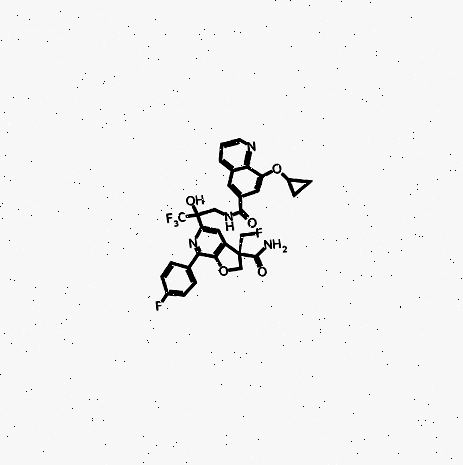 NC(=O)[C@]1(CF)COc2c1cc(C(O)(CNC(=O)c1cc(OC3CC3)c3ncccc3c1)C(F)(F)F)nc2-c1ccc(F)cc1